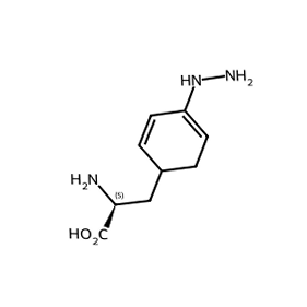 NNC1=CCC(C[C@H](N)C(=O)O)C=C1